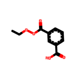 CCOOC(=O)c1cccc(C(=O)O)c1